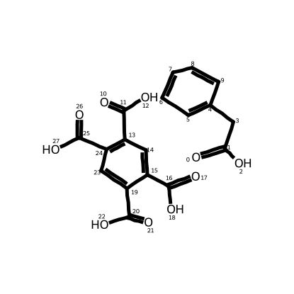 O=C(O)Cc1ccccc1.O=C(O)c1cc(C(=O)O)c(C(=O)O)cc1C(=O)O